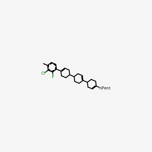 CCCCCC1=CCC(C2=CCC(C3CC=C(c4ccc(C)c(Cl)c4F)CC3)CC2)CC1